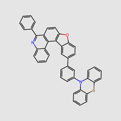 c1ccc(-c2nc3ccccc3c3c2ccc2oc4ccc(-c5cccc(N6c7ccccc7Sc7ccccc76)c5)cc4c23)cc1